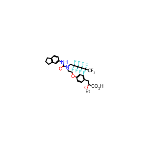 CCOC(Cc1ccc(OCCN(CC(F)(F)C(F)(F)C(F)(F)C(F)(F)C(F)(F)F)C(=O)Nc2ccc3c(c2)CCC3)cc1)C(=O)O